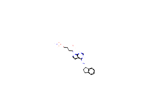 CO[C@H]([C@H](O)[C@H](O)COS(N)(=O)=O)n1ccc2c(NC[C@H]3CCc4ccccc43)ncnc21